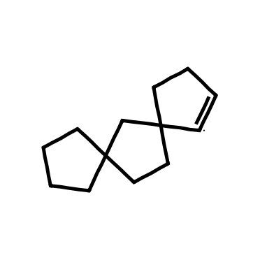 [C]1=CCCC12CCC1(CCCC1)C2